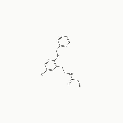 [O]CC(=O)NCCc1cc(Cl)ccc1OCc1ccccc1